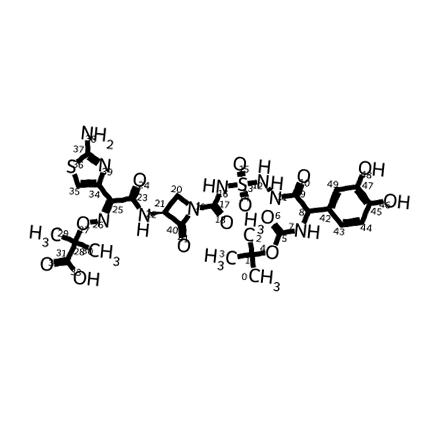 CC(C)(C)OC(=O)NC(C(=O)NNS(=O)(=O)NC(=O)N1C[C@H](NC(=O)C(=NOC(C)(C)C(=O)O)c2csc(N)n2)C1=O)c1ccc(O)c(O)c1